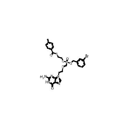 Cc1ccc(C(=O)SCCOP(=O)(COCCn2cnc3c(=O)[nH]c(N)nc32)OCc2cccc(Br)c2)cc1